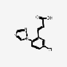 O=C(O)C=Cc1cc(Cl)ccc1-n1cncn1